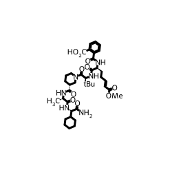 COC(=O)/C=C/CC[C@H](NC(=O)c1ccccc1C(=O)O)C(=O)N[C@H](C(=O)N1CCC[C@@H](C(=O)N[C@@H](C)C(=O)N[C@H](C(N)=O)C2CCCCC2)C1)C(C)(C)C